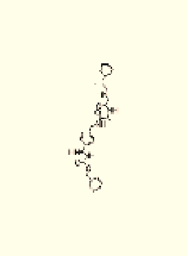 C[C@H](NC(=O)CNC[C@H](C)c1ccccc1)C(=O)NCc1ccc(C(=N)NC(=O)OCc2ccccc2)cc1